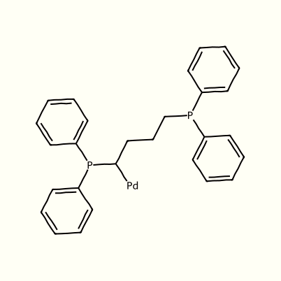 [Pd][CH](CCCP(c1ccccc1)c1ccccc1)P(c1ccccc1)c1ccccc1